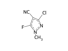 Cn1nc(Cl)c(C#N)c1F